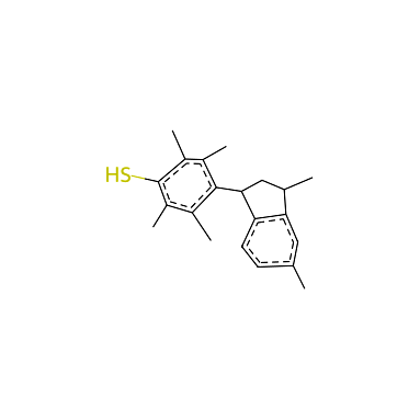 Cc1ccc2c(c1)C(C)CC2c1c(C)c(C)c(S)c(C)c1C